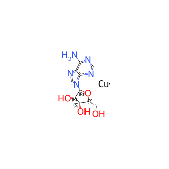 Nc1ncnc2c1ncn2[C@@H]1O[C@H](CO)[C@@H](O)[C@H]1O.[Cu]